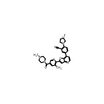 Cc1cc(C(=O)N2CCN(C)CC2)cnc1-c1cc2nccc(-c3ccc(N4CC[C@H](F)C4)c(C#N)c3)c2o1